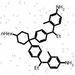 CCCCCCC1CCC(c2ccc(C(CC)c3ccc(N)cc3C)cc2)(c2ccc(C(CC)c3ccc(N)cc3C)cc2)CC1